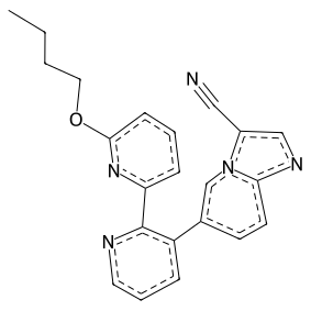 CCCCOc1cccc(-c2ncccc2-c2ccc3ncc(C#N)n3c2)n1